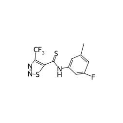 Cc1cc(F)cc(NC(=S)c2snnc2C(F)(F)F)c1